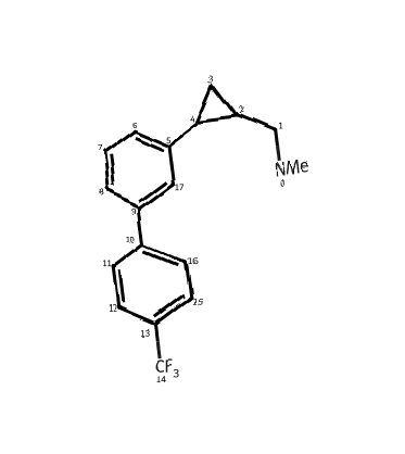 CNCC1CC1c1cccc(-c2ccc(C(F)(F)F)cc2)c1